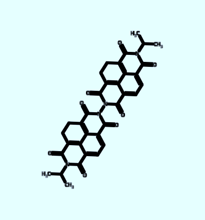 CC(C)N1C(=O)C2=c3c(ccc4c3=C(CC2)C(=O)N(N2C(=O)C3=c5c(ccc6c5=C(CC3)C(=O)N(C(C)C)C6=O)C2=O)C4=O)C1=O